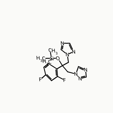 C[Si](C)(C)OC(Cn1cncn1)(Cn1cncn1)c1ccc(F)cc1F